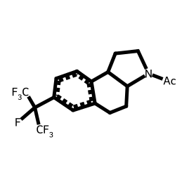 CC(=O)N1CCC2c3ccc(C(F)(C(F)(F)F)C(F)(F)F)cc3CCC21